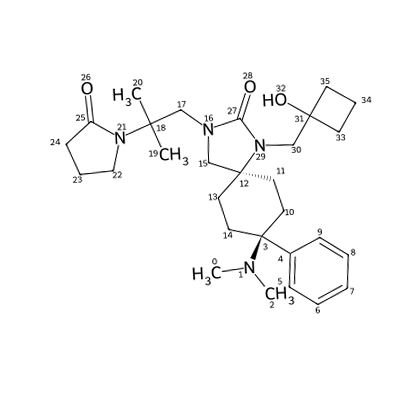 CN(C)[C@]1(c2ccccc2)CC[C@]2(CC1)CN(CC(C)(C)N1CCCC1=O)C(=O)N2CC1(O)CCC1